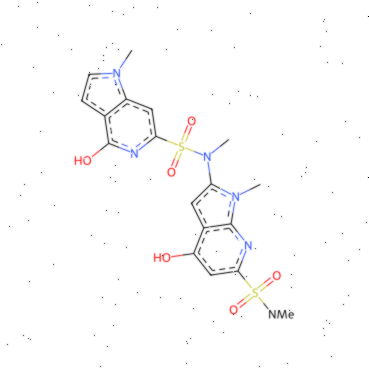 CNS(=O)(=O)c1cc(O)c2cc(N(C)S(=O)(=O)c3cc4c(ccn4C)c(O)n3)n(C)c2n1